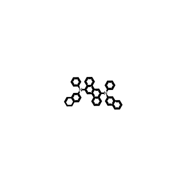 C1=Cc2cc(N(c3ccccc3)c3cc4c5ccccc5c(N(c5ccccc5)c5ccc6ccccc6c5)cc4c4ccccc34)ccc2CC1